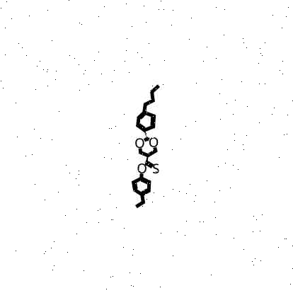 CCCCc1ccc([C@H]2OC[C@H](C(=S)Oc3ccc(CC)cc3)CO2)cc1